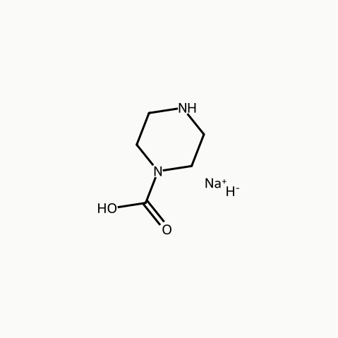 O=C(O)N1CCNCC1.[H-].[Na+]